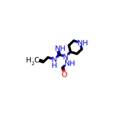 C=CCNC(=N)N(NC=O)C1CCNCC1